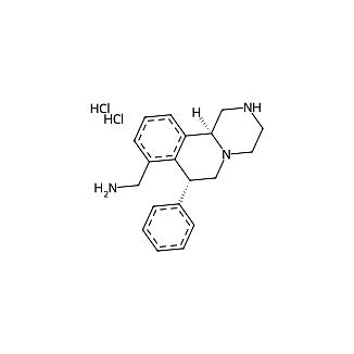 Cl.Cl.NCc1cccc2c1[C@@H](c1ccccc1)CN1CCNC[C@H]21